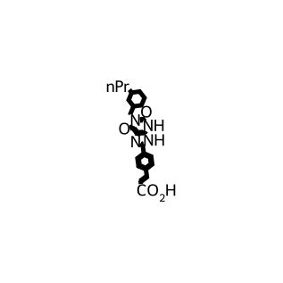 CCCC1CCCC(Cn2c(=O)[nH]c3[nH]c(-c4ccc(C=CC(=O)O)cc4)nc3c2=O)C1